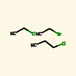 N#CCBr.N#CCCCl.N#CCCl